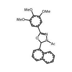 COc1cc(C2=NN(C(C)=O)C(c3cccc4ccccc34)O2)cc(OC)c1OC